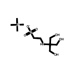 C[N+](C)(C)C.O=S(=O)([O-])CCNC(CO)(CO)CO